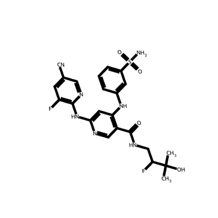 CC(C)(O)C(F)CNC(=O)c1cnc(Nc2ncc(C#N)cc2F)cc1Nc1cccc(S(N)(=O)=O)c1